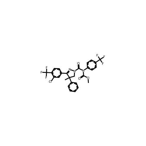 COC(=O)N(C(=O)N1CC(C)(c2ccccc2)C(c2ccc(C(F)(F)F)c(Cl)c2)=N1)c1ccc(C(F)(F)F)cc1